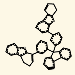 c1ccc2c(c#1)-c1ccccc1C2(c1cccc(C2=CCCc3c2oc2ccccc32)c1)c1cccc(-c2cccc3c4c(oc23)CCC=C4)c1